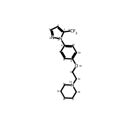 FC(F)(F)c1ccnn1-c1ccc(OCCN2CCCCC2)cc1